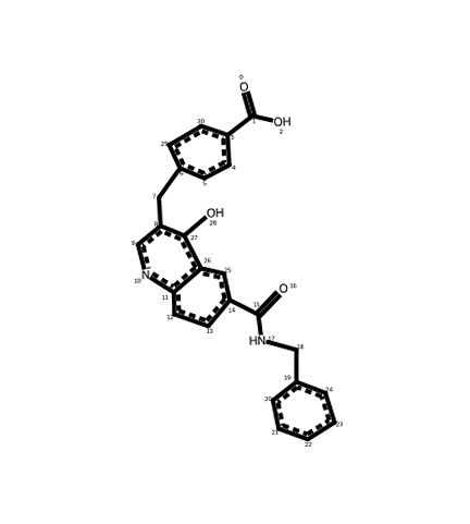 O=C(O)c1ccc(Cc2cnc3ccc(C(=O)NCc4ccccc4)cc3c2O)cc1